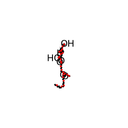 C=C1/C(=C\C=C2/CCC[C@]3(C)[C@@H]([C@H](C)CCCC(C)(C)O)CC[C@@H]23)C[C@@H](OC(=O)CCCCCCC/C=C\C[C@@H](CCCCCC)OC(=O)CCCCCCC/C=C\C/C=C\CCCCC)C[C@@H]1O